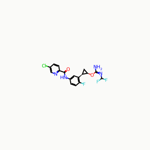 N/C(=N/C(F)F)O[C@@H]1C[C@@H]1c1cc(NC(=O)c2ccc(Cl)cn2)ccc1F